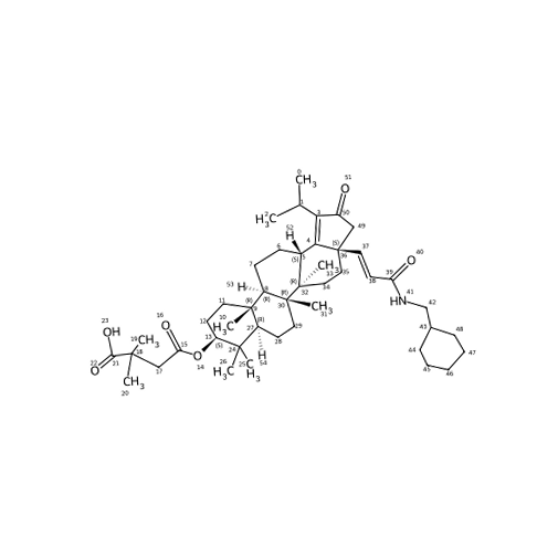 CC(C)C1=C2[C@H]3CC[C@@H]4[C@@]5(C)CC[C@H](OC(=O)CC(C)(C)C(=O)O)C(C)(C)[C@@H]5CC[C@@]4(C)[C@]3(C)CC[C@@]2(C=CC(=O)NCC2CCCCC2)CC1=O